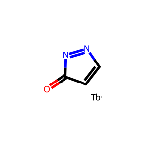 O=C1C=CN=N1.[Tb]